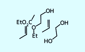 C=CC.C=CC.CCOC(C)=O.CCOCCO.OCCO